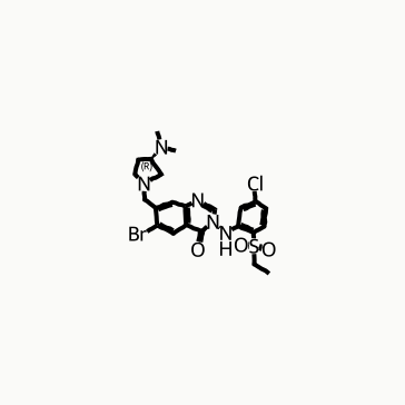 CCS(=O)(=O)c1ccc(Cl)cc1Nn1cnc2cc(CN3CC[C@@H](N(C)C)C3)c(Br)cc2c1=O